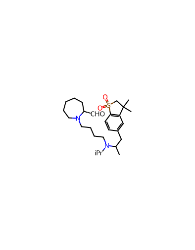 CC(C)N(CCCCN1CCCCCC1C=O)C(C)Cc1ccc2c(c1)C(C)(C)CS2(=O)=O